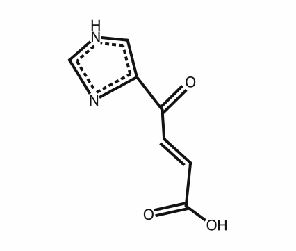 O=C(O)C=CC(=O)c1c[nH]cn1